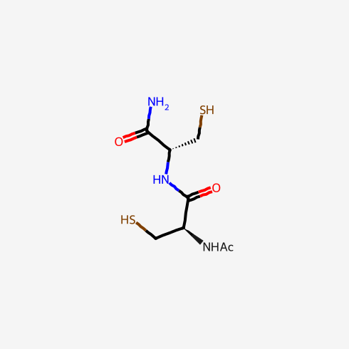 CC(=O)N[C@@H](CS)C(=O)N[C@@H](CS)C(N)=O